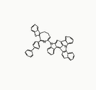 C1=C(n2c3ccccc3c3c4c5ccc6ccccc6c5n5c6ccccc6c(cc32)c45)\N=C(\c2ccc(-c3ccccc3)cc2)c2sc3ccccc3c2CC/1